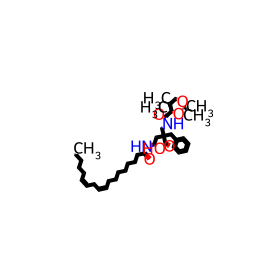 CCCCC/C=C\C/C=C\CCCCCCCC(=O)NCCC(CNC(=O)C1OC(C)(C)OCC1(C)C)(Cc1ccccc1)C(=O)O